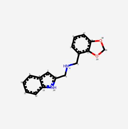 c1cc(CNCc2cc3ccccc3[nH]2)c2c(c1)OCO2